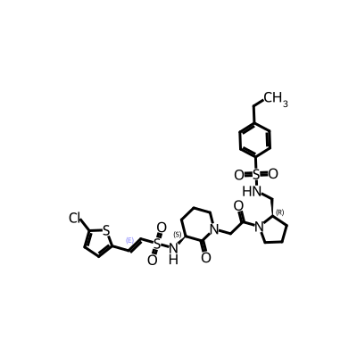 CCc1ccc(S(=O)(=O)NC[C@H]2CCCN2C(=O)CN2CCC[C@H](NS(=O)(=O)/C=C/c3ccc(Cl)s3)C2=O)cc1